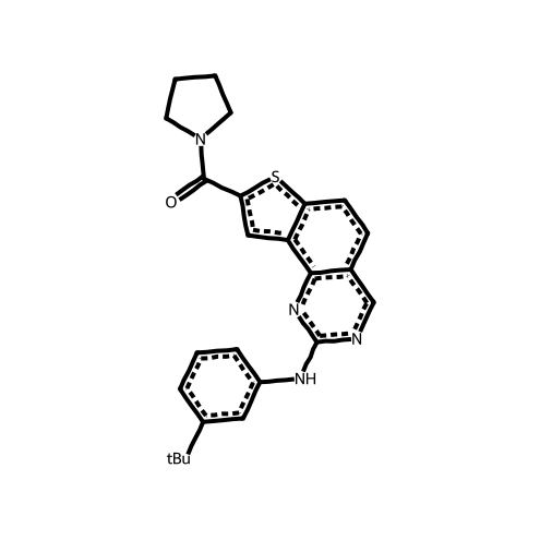 CC(C)(C)c1cccc(Nc2ncc3ccc4sc(C(=O)N5CCCC5)cc4c3n2)c1